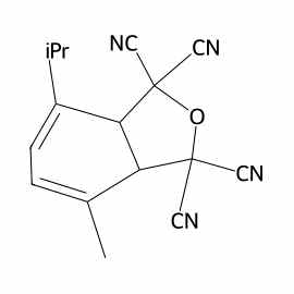 CC1=CC=C(C(C)C)C2C1C(C#N)(C#N)OC2(C#N)C#N